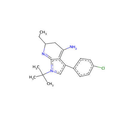 CCC1CC(N)=c2c(-c3ccc(Cl)cc3)cn(C(C)(C)C)c2=N1